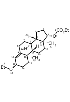 CCOC(=O)O[C@H]1CC[C@H]2[C@@H]3CCC4=C[C@H](OCC)CC[C@]4(C)[C@H]3CC[C@]12C